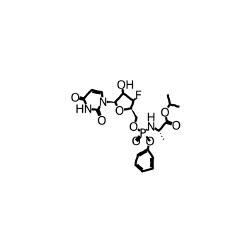 CC(C)OC(=O)[C@H](C)NP(=O)(OC[C@H]1O[C@@H](n2ccc(=O)[nH]c2=O)C(O)[C@H]1F)Oc1ccccc1